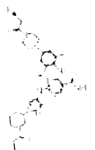 C=CC(=O)N1CCCC(n2cc(Nc3ncc(C(N)=O)c(Nc4c(C)cc(N5CCN(C(=O)CC#N)CC5)cc4OC)n3)cn2)C1